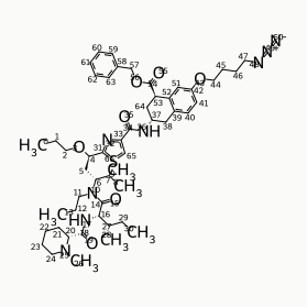 CCCO[C@H](C[C@H](C(C)C)N(CCC)C(=O)[C@@H](NC(=O)[C@H]1CCCCN1C)[C@@H](C)CC)c1nc(C(=O)N[C@H]2Cc3ccc(OCCCCN=[N+]=[N-])cc3[C@H](C(=O)OCc3ccccc3)C2)cs1